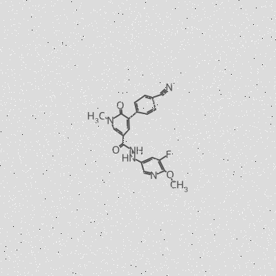 COc1ncc(NNC(=O)c2cc(-c3ccc(C#N)cc3)c(=O)n(C)c2)cc1F